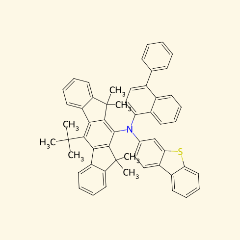 CC(C)(C)c1c2c(c(N(c3ccc4c(c3)sc3ccccc34)c3ccc(-c4ccccc4)c4ccccc34)c3c1-c1ccccc1C3(C)C)C(C)(C)c1ccccc1-2